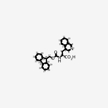 O=C(N[C@@H](Cc1cncc2ccccc12)C(=O)O)OCC1c2ccccc2-c2ccccc21